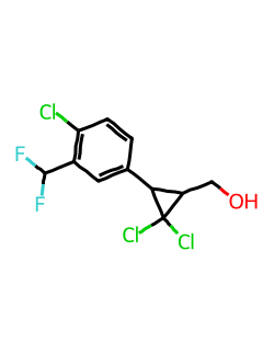 OCC1C(c2ccc(Cl)c(C(F)F)c2)C1(Cl)Cl